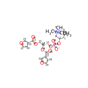 CCC(C[N+](C)(C)C)OP(=O)([O-])OC[C@@H](COC(=O)c1ccoc1)OC(=O)c1ccoc1